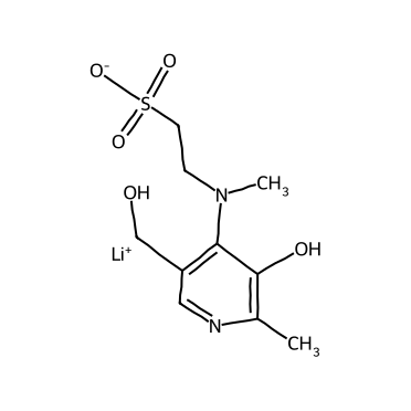 Cc1ncc(CO)c(N(C)CCS(=O)(=O)[O-])c1O.[Li+]